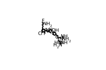 N=C(N)NCC[C@H](CNC(=N)N)OCc1ccc(N2C=c3cc(-c4cc(CCC[C@@H](N)CF)cc(Cl)c4F)[nH]c3=NC2O)cc1